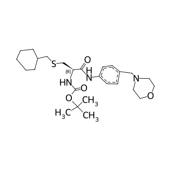 CC(C)(C)OC(=O)N[C@@H](CSCC1CCCCC1)C(=O)Nc1ccc(CN2CCOCC2)cc1